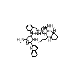 CCCCC1[C@H]2CCCC[C@H]2C[C@@H](C(N)=O)N1C[C@@H](O)[C@H](Cc1ccccc1)NC(=O)[C@H](CC(N)=O)NC(=O)c1ccc2ccccc2n1